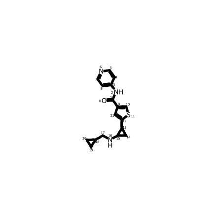 O=C(Nc1ccncc1)c1csc(C2CC2NCC2CC2)c1